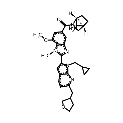 COc1cc(C(=O)N2C[C@H]3CC[C@@H]2[C@@H]3N)cc2nc(-c3cc4ccc(CC5CCOC5)nc4n3CC3CC3)n(C)c12